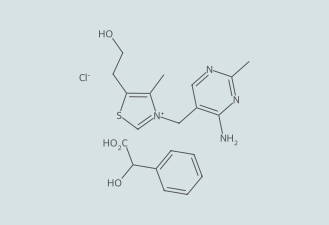 Cc1ncc(C[n+]2csc(CCO)c2C)c(N)n1.O=C(O)C(O)c1ccccc1.[Cl-]